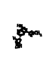 Cn1cc(-c2cn(S)c3ncc([C@@H]4C[C@H]5O[C@@H]4CC5C#N)cc23)cn1